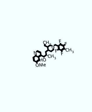 C=CC1CN(Cc2c(F)c(F)c(C)c(F)c2F)CCC1C[C@H](C)[C@H](O)c1ccnc2ccc(OC)cc12